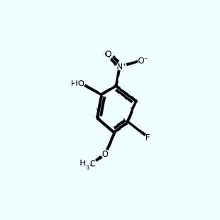 COc1cc(O)c([N+](=O)[O-])cc1F